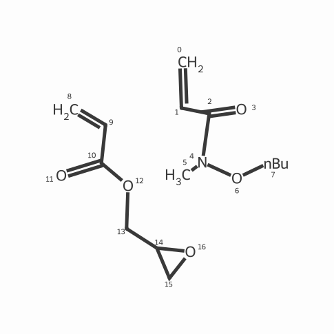 C=CC(=O)N(C)OCCCC.C=CC(=O)OCC1CO1